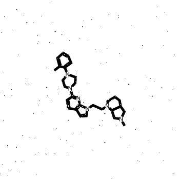 Cc1ccccc1N1CCN(c2ccc3ccn(CCN4CCCC5CN(C)CC54)c3n2)CC1